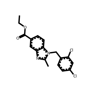 CCOC(=O)c1ccc2c(c1)nc(C)n2Cc1ccc(Cl)cc1Cl